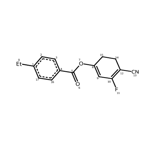 CCc1ccc(C(=O)OC2=CC(F)=C(C#N)CC2)cc1